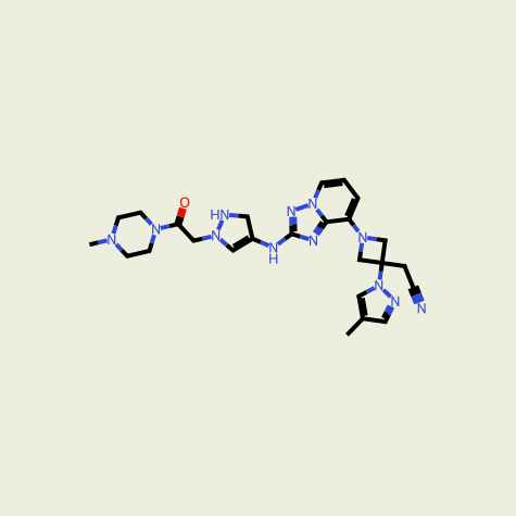 Cc1cnn(C2(CC#N)CN(c3cccn4nc(NC5=CN(CC(=O)N6CCN(C)CC6)NC5)nc34)C2)c1